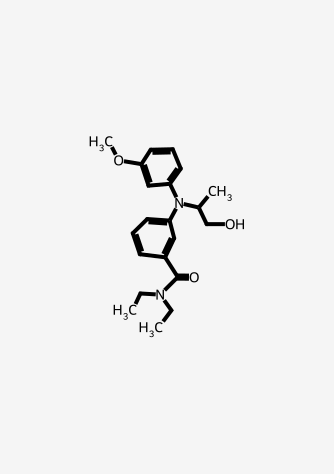 CCN(CC)C(=O)c1cccc(N(c2cccc(OC)c2)C(C)CO)c1